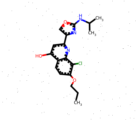 CCCOc1ccc2c(O)cc(-c3coc(NC(C)C)n3)nc2c1Cl